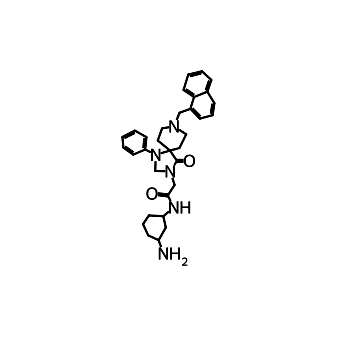 NC1CCCC(NC(=O)CN2CN(c3ccccc3)C3(CCN(Cc4cccc5ccccc45)CC3)C2=O)C1